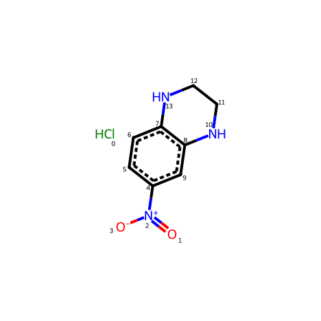 Cl.O=[N+]([O-])c1ccc2c(c1)NCCN2